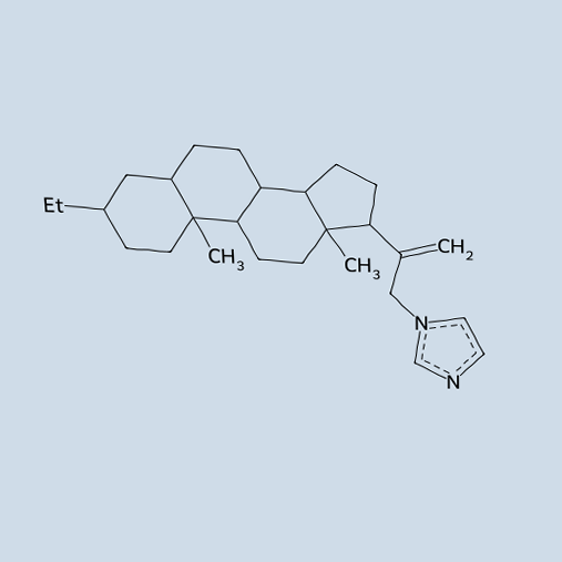 C=C(Cn1ccnc1)C1CCC2C3CCC4CC(CC)CCC4(C)C3CCC12C